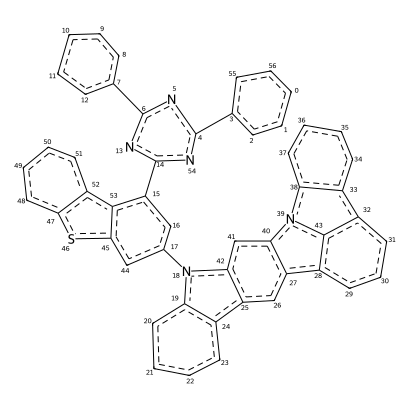 c1ccc(-c2nc(-c3ccccc3)nc(-c3cc(-n4c5ccccc5c5cc6c7cccc8c9ccccc9n(c6cc54)c87)cc4sc5ccccc5c34)n2)cc1